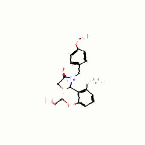 COc1cccc(OCCO)c1C1SCC(=O)N1Cc1ccc(OC(F)(F)F)cc1